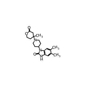 Cc1cc2[nH]c(=O)n(C3CCN(C4(C)CCOC(=O)C4)CC3)c2cc1C